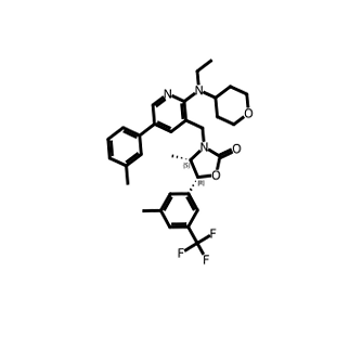 CCN(c1ncc(-c2cccc(C)c2)cc1CN1C(=O)O[C@H](c2cc(C)cc(C(F)(F)F)c2)[C@@H]1C)C1CCOCC1